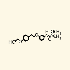 C#CCOc1ccc(CCOc2cccc(NC(=O)N(C)OC)c2)cc1